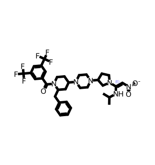 CC(C)N/C(=C\[N+](=O)[O-])N1CCC(N2CCN(C3CCN(C(=O)c4cc(C(F)(F)F)cc(C(F)(F)F)c4)C(Cc4ccccc4)C3)CC2)C1